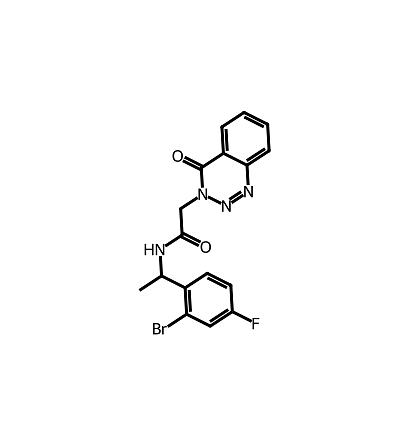 CC(NC(=O)Cn1nnc2ccccc2c1=O)c1ccc(F)cc1Br